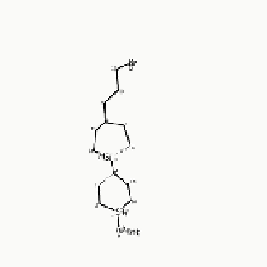 CCCCC[Si@H]1CC[C@H]([Si@H]2CC[C@H](CCCBr)CC2)CC1